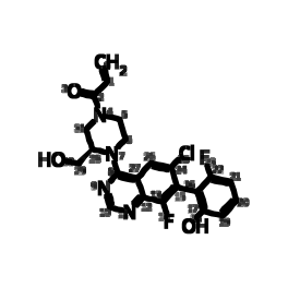 C=CC(=O)N1CCN(c2ncnc3c(F)c(-c4c(O)cccc4F)c(Cl)cc23)[C@@H](CO)C1